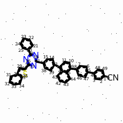 N#Cc1ccc(-c2ccc(-c3ccc(-c4ccc(-c5nc(-c6ccccc6)nc(-c6cc7ccccc7s6)n5)cc4)c4ccccc34)cc2)cc1